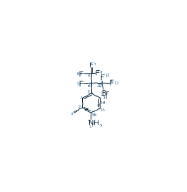 Cc1cc(C(F)(C(F)(F)F)C(F)(F)Br)ccc1N